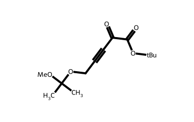 COC(C)(C)OCC#CC(=O)C(=O)OC(C)(C)C